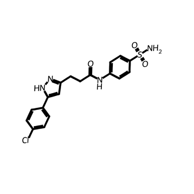 NS(=O)(=O)c1ccc(NC(=O)CCc2cc(-c3ccc(Cl)cc3)[nH]n2)cc1